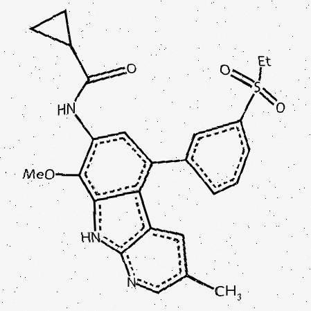 CCS(=O)(=O)c1cccc(-c2cc(NC(=O)C3CC3)c(OC)c3[nH]c4ncc(C)cc4c23)c1